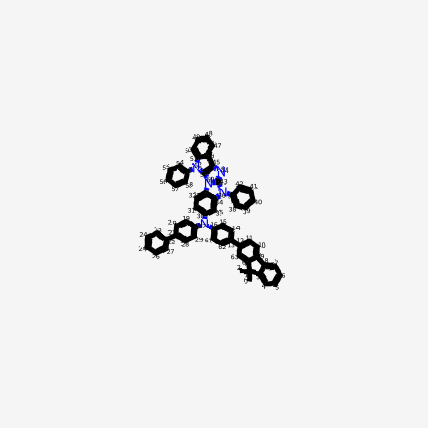 CC1(C)c2ccccc2-c2ccc(-c3ccc(N(c4ccc(-c5ccccc5)cc4)c4ccc5c(c4)n(-c4ccccc4)c4nc6c7ccccc7n(-c7ccccc7)c6n54)cc3)cc21